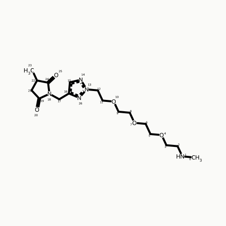 CNCCOCCOCCOCCn1ncc(CN2C(=O)CC(C)C2=O)n1